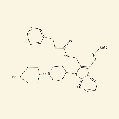 CON=Cc1c(CNC(=O)OCc2ccccc2)n(C2CCN([C@H]3CC[C@@H](C(C)C)CC3)CC2)c2ncccc12